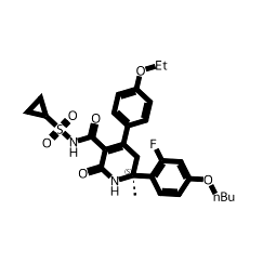 CCCCOc1ccc([C@]2(C)CC(c3ccc(OCC)cc3)=C(C(=O)NS(=O)(=O)C3CC3)C(=O)N2)c(F)c1